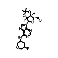 CC1(C)O[C@@H]2[C@@H](O1)[C@H](n1cnc3c(NC4COCC(F)C4)ncnc31)O[C@H]2C=O